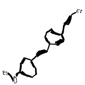 CCC#Cc1ccc(C#Cc2ccc(OCC)cc2)cc1